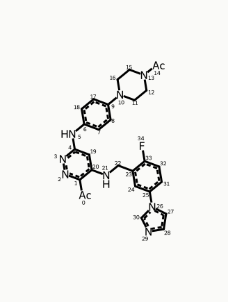 CC(=O)c1nnc(Nc2ccc(N3CCN(C(C)=O)CC3)cc2)cc1NCc1cc(-n2ccnc2)ccc1F